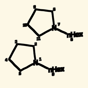 CCCCCCN1CCCC1.CCCCCCN1CCCC1